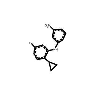 O=[N+]([O-])c1cccc(Nc2nc(Cl)ncc2C2CC2)c1